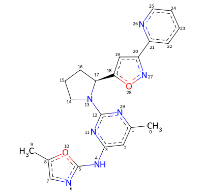 Cc1cc(Nc2ncc(C)o2)nc(N2CCC[C@H]2c2cc(-c3ccccn3)no2)n1